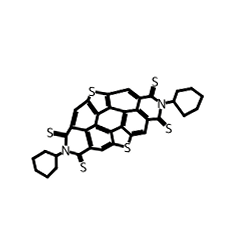 S=c1c2cc3sc4cc5c(=S)n(C6CCCCC6)c(=S)c6cc7sc8cc(c(=S)n1C1CCCCC1)c2c1c3c4c(c56)c7c81